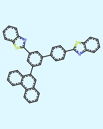 c1ccc2c(c1)cc(-c1cc(-c3ccc(-c4nc5ccccc5s4)cc3)cc(-c3nc4ccccc4s3)c1)c1ccccc12